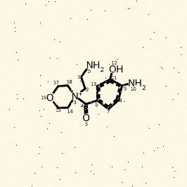 NCC[N+]1(C(=O)c2ccc(N)c(O)c2)CCOCC1